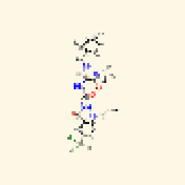 CCCNc1ccc(C(F)(F)F)cc1C(=O)NCC(=O)N[C@@H](CNCc1ccc(C)cc1C)C(=O)NC(C)(C)C